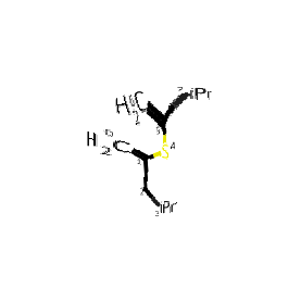 C=C(CC(C)C)SC(=C)C(C)C